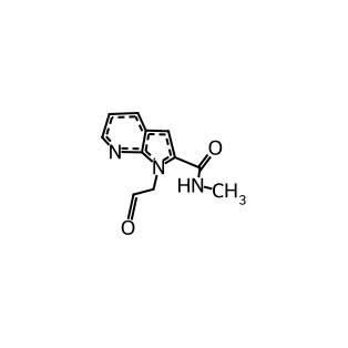 CNC(=O)c1cc2cccnc2n1CC=O